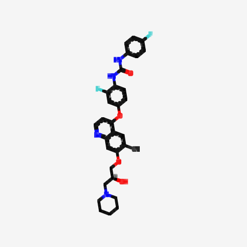 N#Cc1cc2c(Oc3ccc(NC(=O)Nc4ccc(F)cc4)c(F)c3)ccnc2cc1OC[C@@H](O)CN1CCCCC1